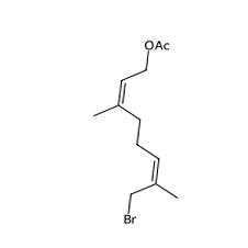 CC(=O)OCC=C(C)CCC=C(C)CBr